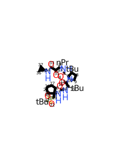 CCC[C@H](NC(=O)[C@@H]1C(C(C)(C)C)CCN1C(=O)[C@@H](NC(=O)NC1(CS(=O)(=O)C(C)(C)C)CCCCC1)C(C)(C)C)C(=O)C(=O)NC1CC1